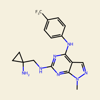 Cn1ncc2c(Nc3ccc(C(F)(F)F)cc3)nc(NCC3(N)CC3)nc21